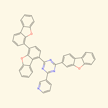 c1cncc(-c2nc(-c3ccc4c(c3)oc3ccccc34)nc(-c3ccc(-c4cccc5c4oc4ccccc45)c4oc5ccccc5c34)n2)c1